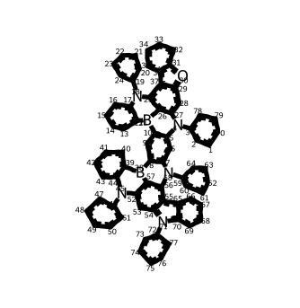 c1ccc(N2c3cc4c(cc3B3c5ccccc5N(c5ccccc5)c5c3c2cc2oc3ccccc3c52)B2c3ccccc3N(c3ccccc3)c3cc5c(c(c32)N4c2ccccc2)c2ccccc2n5-c2ccccc2)cc1